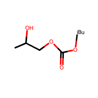 CCC(C)OC(=O)OCC(C)O